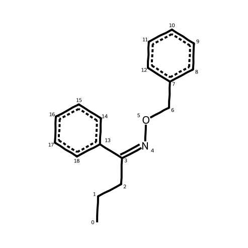 CCC/C(=N/OCc1ccccc1)c1cc[c]cc1